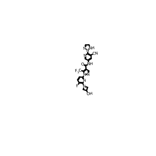 N#Cc1cc(NC(=O)c2cnn(-c3ccc(F)c(N4CC(O)C4)n3)c2C(F)(F)F)cnc1N1N=CCN1